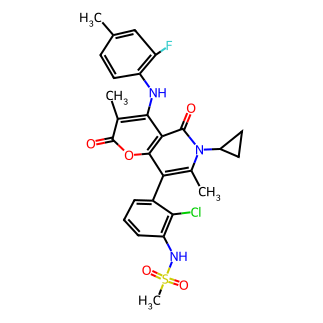 Cc1ccc(Nc2c(C)c(=O)oc3c(-c4cccc(NS(C)(=O)=O)c4Cl)c(C)n(C4CC4)c(=O)c23)c(F)c1